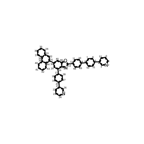 c1cncc(-c2ccc(-c3ccc(-c4nc5c(-c6ccc(-c7cccnc7)cc6)cc(-c6cc7ccccc7c7ccccc67)cc5o4)cc3)cc2)c1